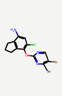 CC(C)c1nc(Oc2c(Cl)cc(N)c3c2CCC3)ncc1Br